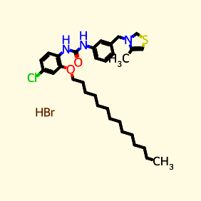 Br.CCCCCCCCCCCCCCOc1cc(Cl)ccc1NC(=O)Nc1cccc(CN2CSC=C2C)c1